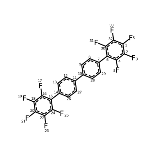 Fc1c(F)c(F)c(-c2ccc(-c3ccc(-c4c(F)c(F)c(F)c(F)c4F)cc3)cc2)c(F)c1F